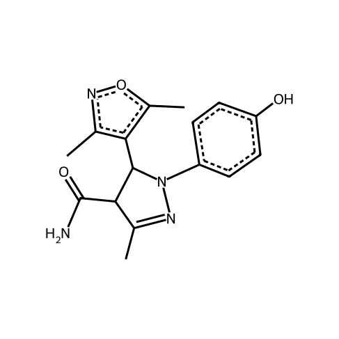 CC1=NN(c2ccc(O)cc2)C(c2c(C)noc2C)C1C(N)=O